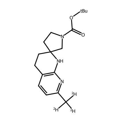 [2H]C([2H])([2H])c1ccc2c(n1)NC1(CC2)CCN(C(=O)OC(C)(C)C)C1